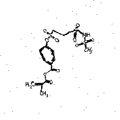 C=C(C)C(=O)OC(=O)c1ccc(OS(=O)(=O)CCCS(=O)(=O)NS(C)(=O)=O)cc1